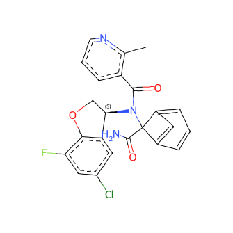 Cc1ncccc1C(=O)N([C@@H]1COc2c(F)cc(Cl)cc21)C1(C(N)=O)C2=CC=CC1=C2